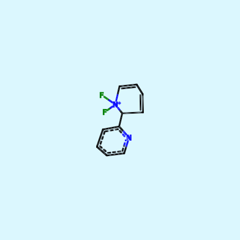 F[N+]1(F)C=CC=CC1c1ccccn1